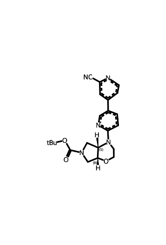 CC(C)(C)OC(=O)N1C[C@H]2OCCN(c3ccc(-c4ccnc(C#N)c4)cn3)[C@H]2C1